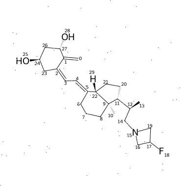 C=C1/C(=C\C=C2/CCC[C@]3(C)[C@@H]([C@@H](C)CN4CC(F)C4)CC[C@@H]23)C[C@@H](O)C[C@@H]1O